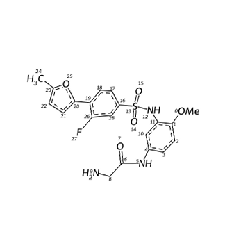 COc1ccc(NC(=O)CN)cc1NS(=O)(=O)c1ccc(-c2ccc(C)o2)c(F)c1